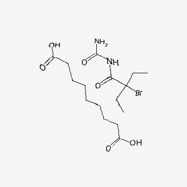 CCC(Br)(CC)C(=O)NC(N)=O.O=C(O)CCCCCCCC(=O)O